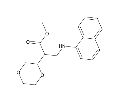 COC(=O)C(CNc1cccc2ccccc12)C1COCCO1